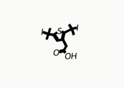 CC(C)(I)c1cc(CC(=O)O)c(C(C)(C)I)s1